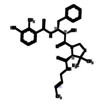 Cc1c(O)cccc1C(=O)N[C@@H](Cc1ccccc1)[C@H](O)C(=O)N1CSC(C)(C)[C@H]1C(=O)NC/C=C/C(F)(F)F